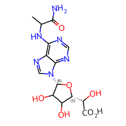 CC(Nc1ncnc2c1ncn2[C@@H]1O[C@H](C(O)C(=O)O)C(O)C1O)C(N)=O